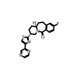 O=C1c2ccc(F)cc2CC[C@@H]2CC[C@H](c3nc(-c4cnccn4)cs3)CN12